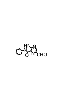 Cn1cc(C=O)nc(C(=O)Nc2ccccc2)c1=N